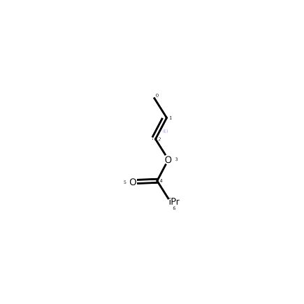 C/C=[C]/OC(=O)C(C)C